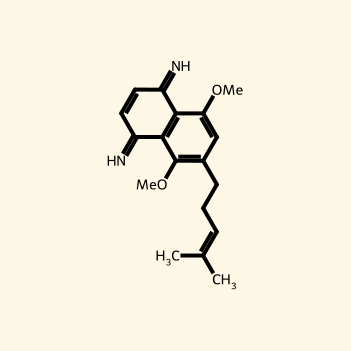 COc1cc(CCC=C(C)C)c(OC)c2c1C(=N)C=CC2=N